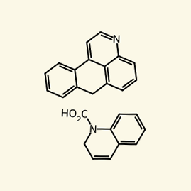 O=C(O)N1CC=Cc2ccccc21.c1ccc2c(c1)Cc1cccc3nccc-2c13